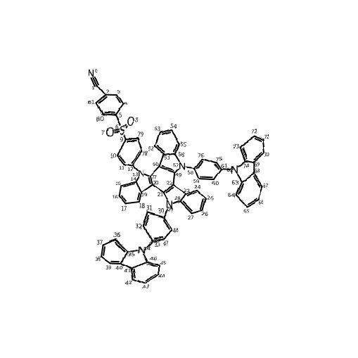 N#Cc1ccc(S(=O)(=O)c2ccc(-n3c4ccccc4c4c5c(c6ccccc6n5-c5ccc(-n6c7ccccc7c7ccccc76)cc5)c5c(c6ccccc6n5-c5ccc(-n6c7ccccc7c7ccccc76)cc5)c43)cc2)cc1